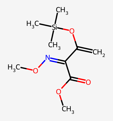 C=C(O[Si](C)(C)C)C(=NOC)C(=O)OC